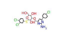 Nc1nc(COC2C(O)C(CO)OC(Sc3ccc(Cl)c(Cl)c3)C2O)cc(-c2ccc(Cl)cc2)n1